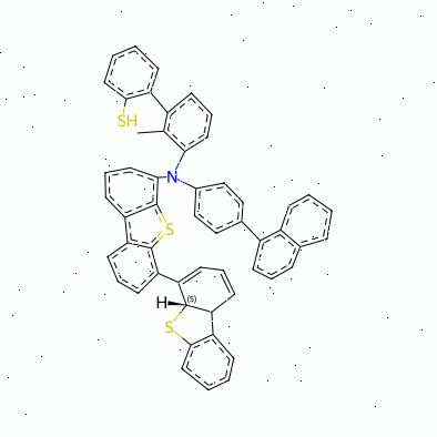 Cc1c(-c2ccccc2S)cccc1N(c1ccc(-c2cccc3ccccc23)cc1)c1cccc2c1sc1c(C3=CC=CC4c5ccccc5S[C@H]34)cccc12